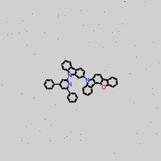 c1ccc(-c2cc(-c3ccccc3)nc(-n3c4ccccc4c4ccc(-n5c6ccccc6c6c7oc8ccccc8c7ccc65)cc43)c2)cc1